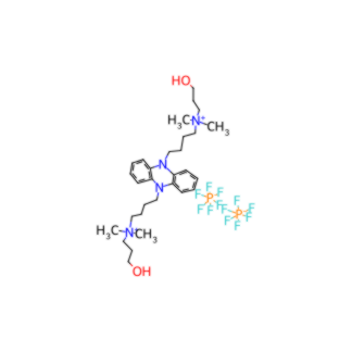 C[N+](C)(CCCO)CCCCN1c2ccccc2N(CCCC[N+](C)(C)CCCO)c2ccccc21.F[P-](F)(F)(F)(F)F.F[P-](F)(F)(F)(F)F